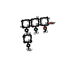 O=C([O-])c1ccc(-c2c3nc(cc4ccc(cc5nc(cc6ccc2[nH]6)C=C5)[nH]4)C=C3)cc1.O=C([O-])c1ccc(-c2c3nc(cc4ccc(cc5nc(cc6ccc2[nH]6)C=C5)[nH]4)C=C3)cc1.O=C([O-])c1ccc(-c2c3nc(cc4ccc(cc5nc(cc6ccc2[nH]6)C=C5)[nH]4)C=C3)cc1.O=C([O-])c1ccc(-c2c3nc(cc4ccc(cc5nc(cc6ccc2[nH]6)C=C5)[nH]4)C=C3)cc1.[Na+].[Na+].[Na+].[Na+]